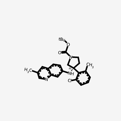 Cc1cnc2cc(N[C@@]3(c4c(C)cccc4Cl)CCN(C(=O)OC(C)(C)C)C3)ccc2c1